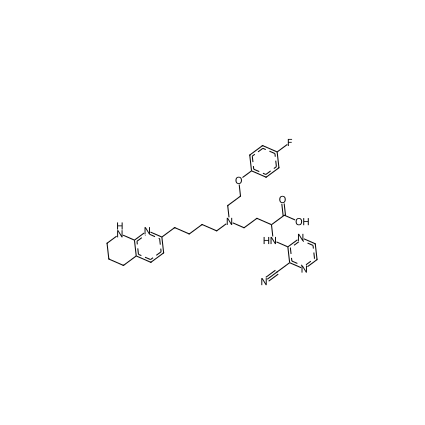 N#Cc1nccnc1NC(CCN(CCCCc1ccc2c(n1)NCCC2)CCOc1ccc(F)cc1)C(=O)O